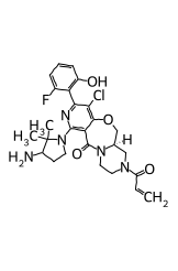 C=CC(=O)N1CCN2C(=O)c3c(N4CCC(N)C4(C)C)nc(-c4c(O)cccc4F)c(Cl)c3OC[C@H]2C1